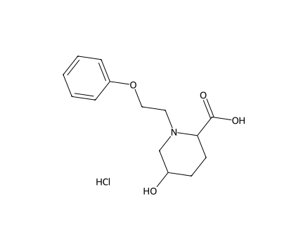 Cl.O=C(O)C1CCC(O)CN1CCOc1ccccc1